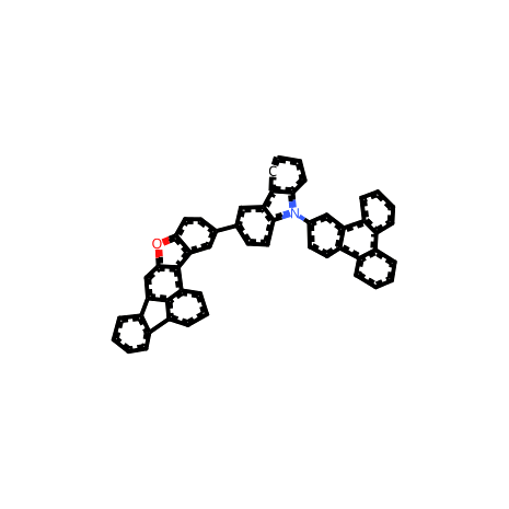 c1ccc2c(c1)-c1cccc3c1c-2cc1oc2ccc(-c4ccc5c(c4)c4ccccc4n5-c4ccc5c6ccccc6c6ccccc6c5c4)cc2c13